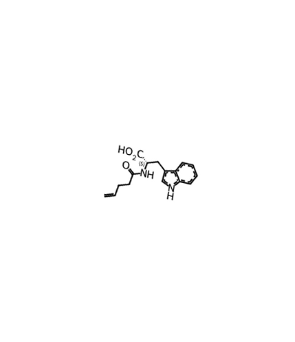 C=CCCC(=O)N[C@@H](Cc1c[nH]c2ccccc12)C(=O)O